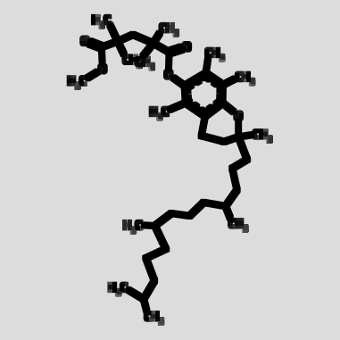 COC(=O)C(C)(C)CC(C)(C)C(=O)Oc1c(C)c(C)c2c(c1C)CCC(C)(CCCC(C)CCCC(C)CCCC(C)C)O2